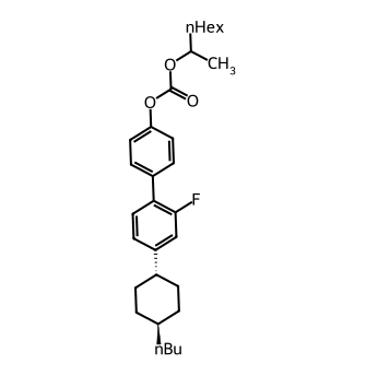 CCCCCCC(C)OC(=O)Oc1ccc(-c2ccc([C@H]3CC[C@H](CCCC)CC3)cc2F)cc1